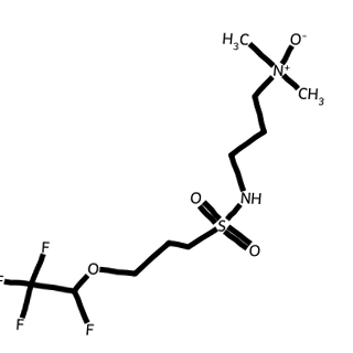 C[N+](C)([O-])CCCNS(=O)(=O)CCCOC(F)C(F)(F)F